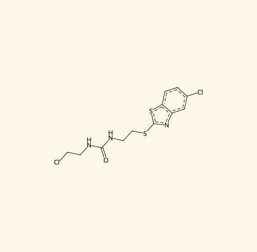 O=C(NCCCl)NCCSc1nc2cc(Cl)ccc2s1